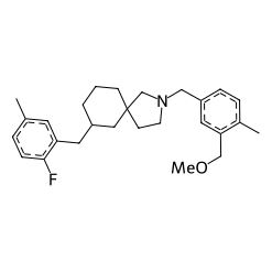 COCc1cc(CN2CCC3(CCCC(Cc4cc(C)ccc4F)C3)C2)ccc1C